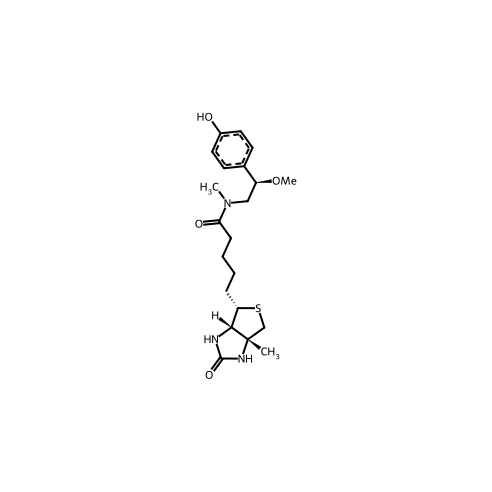 CO[C@@H](CN(C)C(=O)CCCC[C@@H]1SC[C@]2(C)NC(=O)N[C@H]12)c1ccc(O)cc1